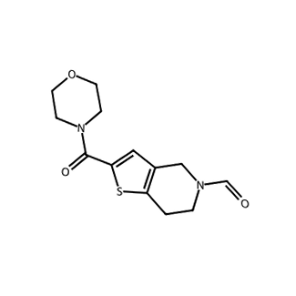 O=CN1CCc2sc(C(=O)N3CCOCC3)cc2C1